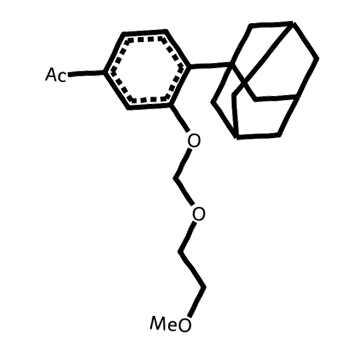 COCCOCOc1cc(C(C)=O)ccc1C12CC3CC(CC(C3)C1)C2